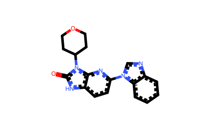 O=c1[nH]c2ccc(-n3cnc4ccccc43)nc2n1C1CCOCC1